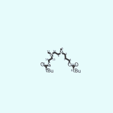 CN(CCCOC(=O)C(C)(C)C)CCN(C)CCSC(=O)C(C)(C)C